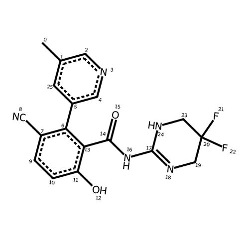 Cc1cncc(-c2c(C#N)ccc(O)c2C(=O)NC2=NCC(F)(F)CN2)c1